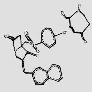 O=C1CC2(S(=O)(=O)c3ccc(Cl)cc3)C(=O)C(=Cc3ccc4ccccc4c3)CN12.O=C1CCNC(=O)CC1